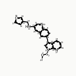 IOSn1cc(-c2ccc3ncc(NCc4ccoc4)cc3c2)c2cccnc21